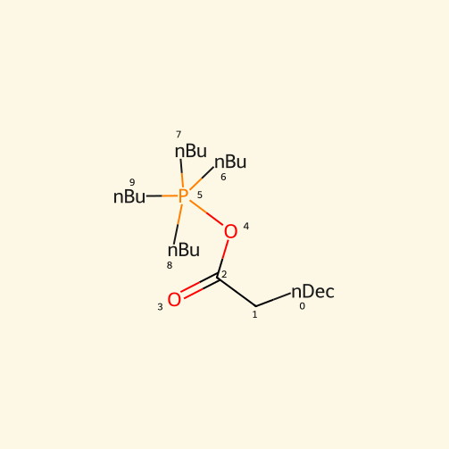 CCCCCCCCCCCC(=O)OP(CCCC)(CCCC)(CCCC)CCCC